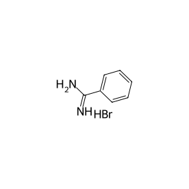 Br.N=C(N)c1ccccc1